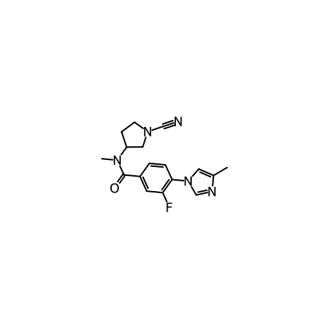 Cc1cn(-c2ccc(C(=O)N(C)C3CCN(C#N)C3)cc2F)cn1